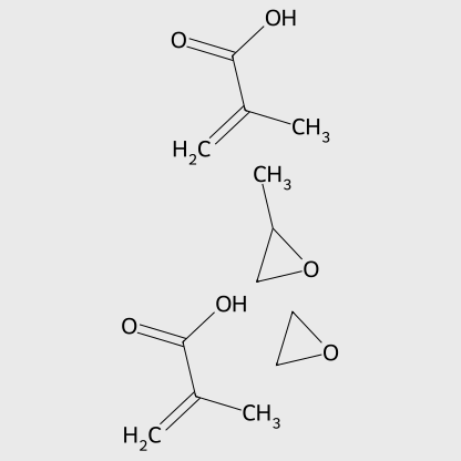 C1CO1.C=C(C)C(=O)O.C=C(C)C(=O)O.CC1CO1